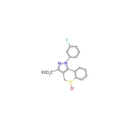 CCOC(=O)c1nn(-c2cccc(F)c2)c2c1C[S+]([O-])c1ccccc1-2